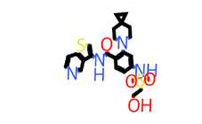 O=C(Nc1csc2ccncc12)c1ccc(NS(=O)(=O)CCO)cc1N1CCC2(CC1)CC2